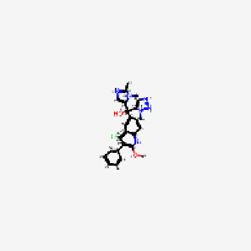 COc1nc2ccc(C(O)(c3cnnn3C)c3cnc(C)n3C)cc2c(Cl)c1-c1ccccc1